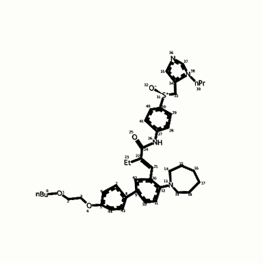 CCCCOCCOc1ccc(-c2ccc(N3CCCCCC3)c(/C=C(\CC)C(=O)Nc3ccc([S@@+]([O-])Cc4cncn4CCC)cc3)c2)cc1